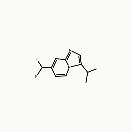 CC(C)c1cnc2cc(C(F)F)ccn12